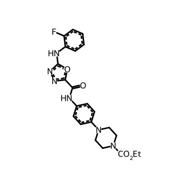 CCOC(=O)N1CCN(c2ccc(NC(=O)c3nnc(Nc4ccccc4F)o3)cc2)CC1